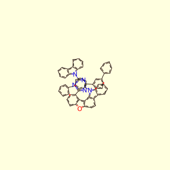 c1ccc(-c2cccc(-c3nc(-c4cccc5oc6ccc7c8ccccc8n(-c8cccc(-c9ccccc9)c8)c7c6c45)nc(-n4c5ccccc5c5ccccc54)n3)c2)cc1